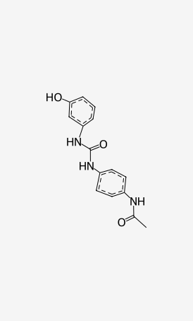 CC(=O)Nc1ccc(NC(=O)Nc2cccc(O)c2)cc1